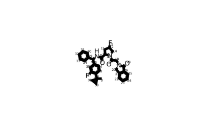 CC1(c2ccc(C(NC(=O)C3CC(F)CN3C(=O)CN3Cc4ccccc4C3=O)c3ccccc3)cc2F)CC1